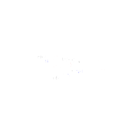 CCCC[C@@H](COC(=O)N(CCCC)Cc1cccs1)NC(=O)N[C@@H](CC(=O)O)c1ccc2c(c1)OCO2